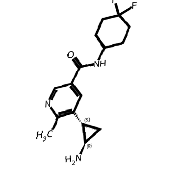 Cc1ncc(C(=O)NC2CCC(F)(F)CC2)cc1[C@@H]1C[C@H]1N